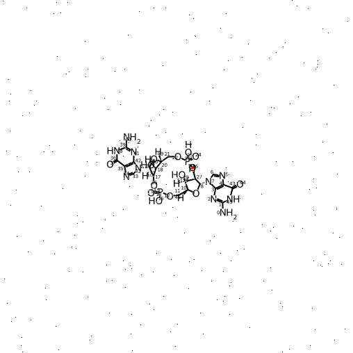 Nc1nc2c(ncn2[C@@H]2O[C@@H]3COP(=O)(O)O[C@@H]4[C@H](O)[C@@H](COP(=O)(O)O[C@@H]2[C@@H]3O)O[C@H]4n2cnc3c(=O)[nH]c(N)nc32)c(=O)[nH]1